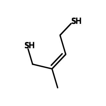 CC(=CCS)CS